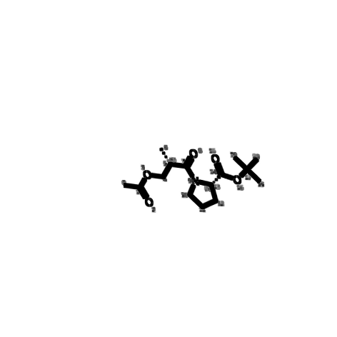 CC(=O)OC[C@H](C)C(=O)N1CCC[C@H]1C(=O)OC(C)(C)C